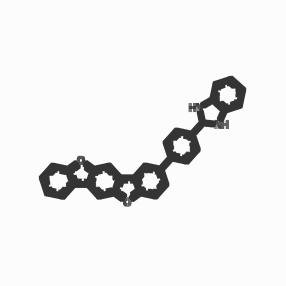 c1ccc2c(c1)NC(c1ccc(-c3ccc4oc5cc6c(cc5c4c3)oc3ccccc36)cc1)N2